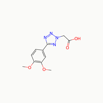 COc1ccc(-c2nnn(CC(=O)O)n2)cc1OC